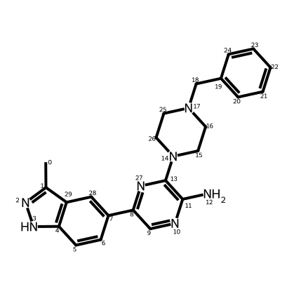 Cc1n[nH]c2ccc(-c3cnc(N)c(N4CCN(Cc5ccccc5)CC4)n3)cc12